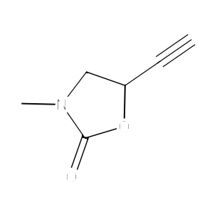 C#CC1CN(C)C(=O)O1